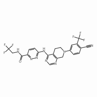 N#Cc1ccc(N2CCc3c(ncnc3Nc3ccc(C(=O)NCC(F)(F)F)nn3)C2)cc1C(F)(F)F